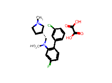 CN1CC[C@@H](CN(C(=O)O)c2cc(F)ccc2-c2cccc(Cl)c2)C1.O=C(O)C(=O)O